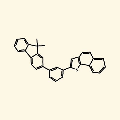 CC1(C)c2ccccc2-c2ccc(-c3cccc(-c4cc5ccc6ccccc6c5s4)c3)cc21